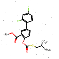 CCCOC(=O)c1cc(-c2ccc(F)cc2F)ccc1OC(=O)SC[C@H](NC(C)=O)C(=O)O